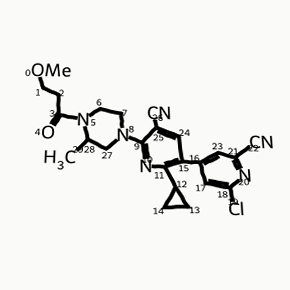 COCCC(=O)N1CCN(c2nc(C3CC3)c(-c3cc(Cl)nc(C#N)c3)cc2C#N)CC1C